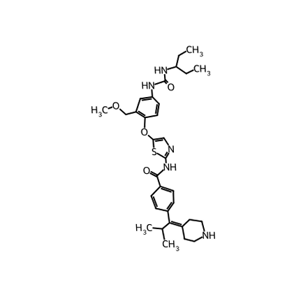 CCC(CC)NC(=O)Nc1ccc(Oc2cnc(NC(=O)c3ccc(C(=C4CCNCC4)C(C)C)cc3)s2)c(COC)c1